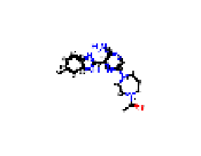 CC(=O)N1CCCN(c2cnc(N)c(-c3nc4ccc(C)cc4[nH]3)n2)CC1